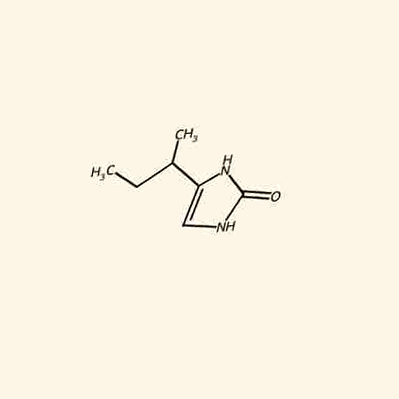 CCC(C)c1c[nH]c(=O)[nH]1